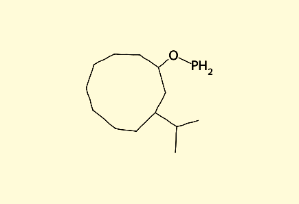 CC(C)C1CCCCCCCC(OP)C1